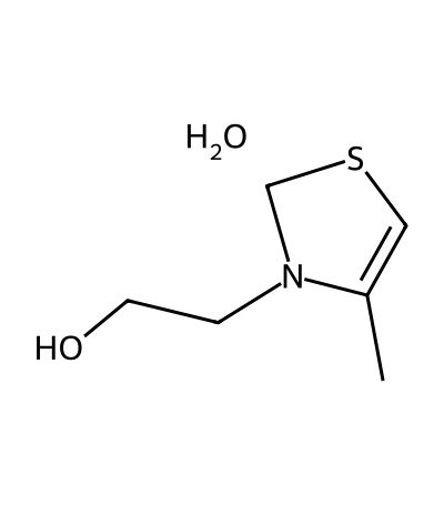 CC1=CSCN1CCO.O